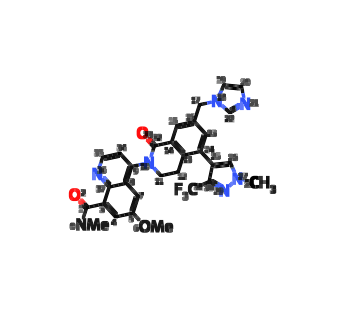 CNC(=O)c1cc(OC)cc2c(N3CCc4c(cc(Cn5ccnc5)cc4-c4cn(C)nc4C(F)(F)F)C3=O)ccnc12